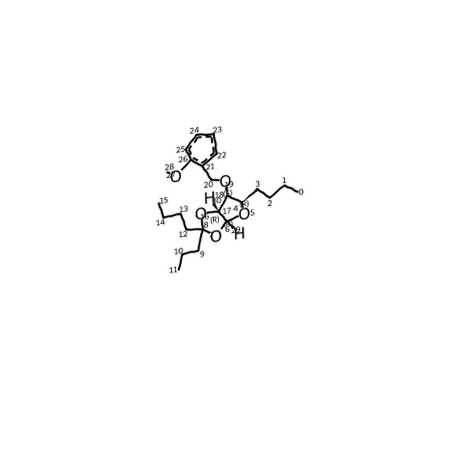 CCCC[C@H]1O[C@@H]2OC(CCC)(CCCC)O[C@@H]2[C@H]1OCc1ccccc1OC